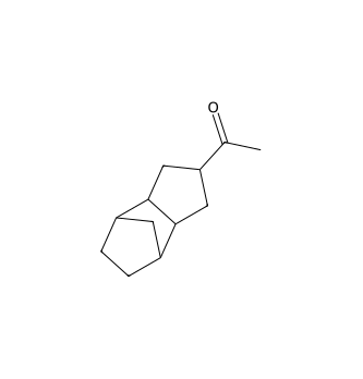 CC(=O)C1CC2C3CCC(C3)C2C1